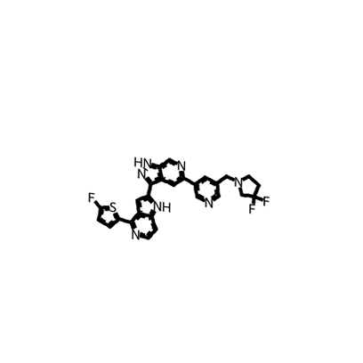 Fc1ccc(-c2nccc3[nH]c(-c4n[nH]c5cnc(-c6cncc(CN7CCC(F)(F)C7)c6)cc45)cc23)s1